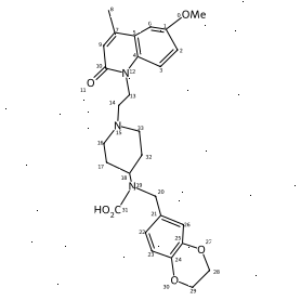 COc1ccc2c(c1)c(C)cc(=O)n2CCN1CCC(N(Cc2ccc3c(c2)OCCO3)C(=O)O)CC1